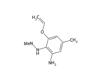 C=COc1cc(C)cc(N)c1NNC